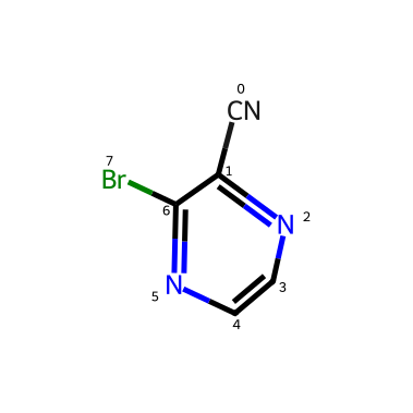 N#Cc1nccnc1Br